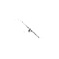 CCCCCCCCCCCCCCC(CCCCCCCCCCCCC)CC(=O)O